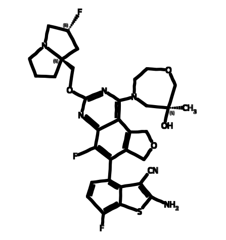 C[C@@]1(O)COCCN(c2nc(OC[C@@]34CCCN3C[C@H](F)C4)nc3c(F)c(-c4ccc(F)c5sc(N)c(C#N)c45)c4c(c23)COC4)C1